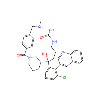 CNCc1ccc(C(=O)N2CCC[C@@H](C(O)(CCCNC(=O)O)c3cccc(Cl)c3-c3cnc4ccccc4c3)C2)cc1